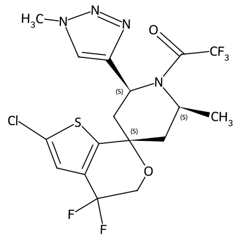 C[C@H]1C[C@@]2(C[C@@H](c3cn(C)nn3)N1C(=O)C(F)(F)F)OCC(F)(F)c1cc(Cl)sc12